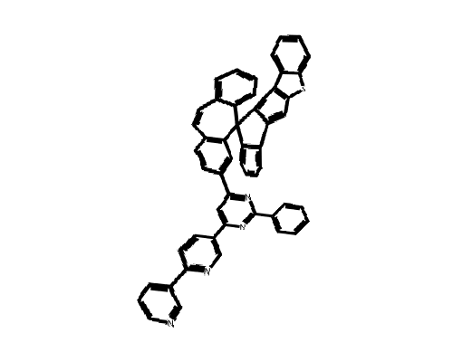 C1=Cc2ccc(-c3cc(-c4ccc(-c5cccnc5)nc4)nc(-c4ccccc4)n3)cc2C2(c3ccccc31)c1ccccc1-c1cc3sc4ccccc4c3cc12